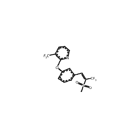 CS(=O)(=O)C(=Cc1cccc(Oc2ncccc2C(F)(F)F)c1)C(F)(F)F